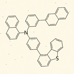 c1cc(-c2ccc3ccccc3c2)cc(N(c2ccc(-c3cccc4sc5ccccc5c34)cc2)c2cccc3ccccc23)c1